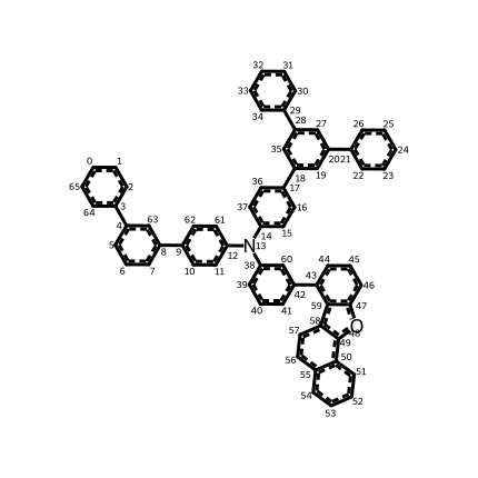 c1ccc(-c2cccc(-c3ccc(N(c4ccc(-c5cc(-c6ccccc6)cc(-c6ccccc6)c5)cc4)c4cccc(-c5cccc6oc7c8ccccc8ccc7c56)c4)cc3)c2)cc1